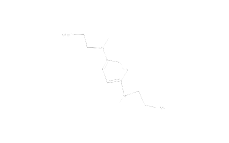 COCCN(C)c1ccc(N(C)CCOC)cc1